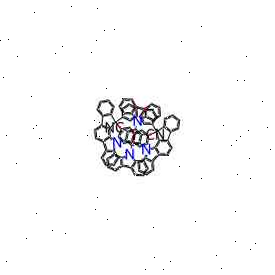 N#Cc1c(-n2c3ccccc3c3ccccc32)c(C#N)c(-n2c3ccccc3c3ccc4c(c32)C(c2ccccc2)(c2ccccc2)c2ccccc2-4)c(-n2c3ccccc3c3ccccc32)c1-n1c2ccccc2c2ccc3c(c21)C(c1ccccc1)(c1ccccc1)c1ccccc1-3